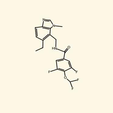 CCc1ccc2ncn(C)c2c1CNC(=O)c1cc(F)c(OC(F)F)c(F)c1